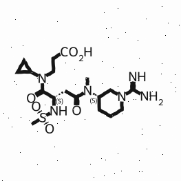 CN(C(=O)C[C@H](NS(C)(=O)=O)C(=O)N(CCC(=O)O)C1CC1)[C@H]1CCCN(C(=N)N)C1